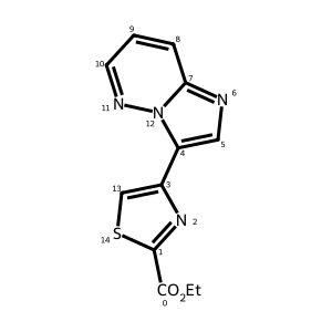 CCOC(=O)c1nc(-c2cnc3cccnn23)cs1